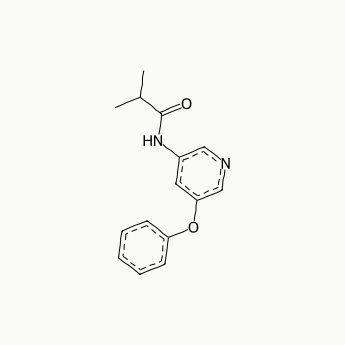 CC(C)C(=O)Nc1cncc(Oc2ccccc2)c1